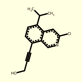 CC(C)c1ccc(C#CCO)c2cnc(Cl)cc12